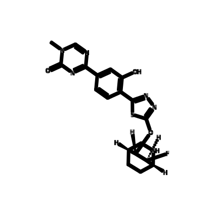 Cn1cnc(-c2ccc(-c3nnc(O[C@H]4[C@@H]5CC[C@@H](NC5)[C@@H]4F)s3)c(O)c2)nc1=O